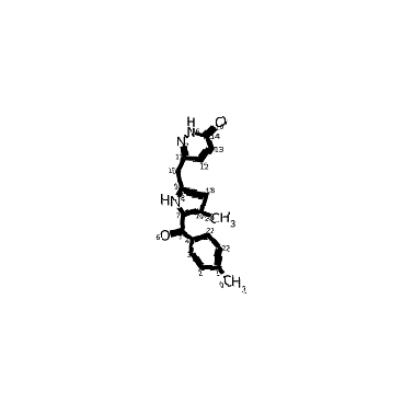 Cc1ccc(C(=O)c2[nH]c(Cc3ccc(=O)[nH]n3)cc2C)cc1